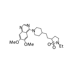 CCN1CCC(CCC2CCN(c3ncnc4cc(OC)c(OC)cc34)CC2)S1(=O)=O